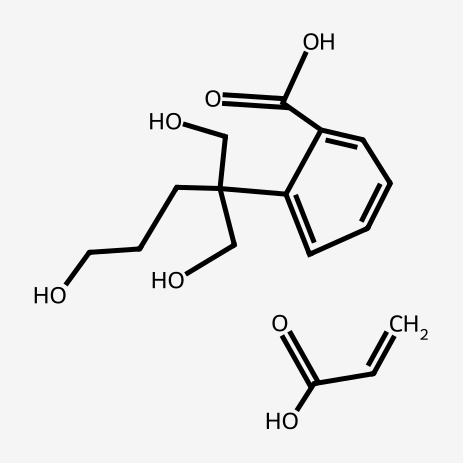 C=CC(=O)O.O=C(O)c1ccccc1C(CO)(CO)CCCO